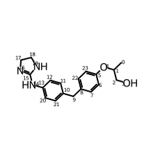 CC(CO)Oc1ccc(Cc2ccc(NC3=NCCN3)cc2)cc1